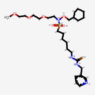 COCCOCCOCCN(OCC1CCCCC1)S(=O)(=O)CCCCCCNC(=S)NCc1cccnc1